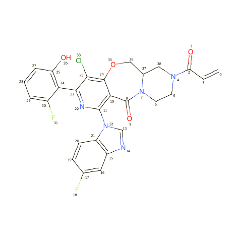 C=CC(=O)N1CCN2C(=O)c3c(-n4cnc5cc(F)ccc54)nc(-c4c(O)cccc4F)c(Cl)c3OCC2C1